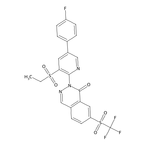 CCS(=O)(=O)c1cc(-c2ccc(F)cc2)cnc1-n1ncc2ccc(S(=O)(=O)C(F)(F)F)cc2c1=O